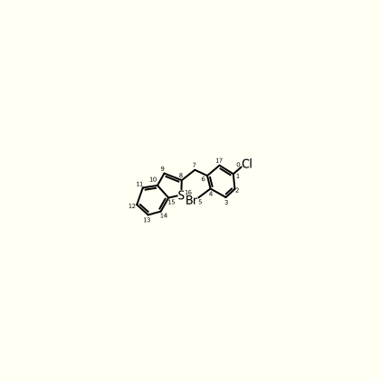 Clc1ccc(Br)c(Cc2cc3ccccc3s2)c1